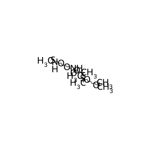 CSNCCOCCOCCNC(=O)OCCC(C)(C)SSC(C)OCCCCOC(C)C